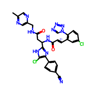 Cc1cnc(CNC(=O)CC(NC(=O)/C=C/c2cc(Cl)ccc2-n2cnnn2)c2nc(-c3ccc(C#N)cc3)c(Cl)[nH]2)cn1